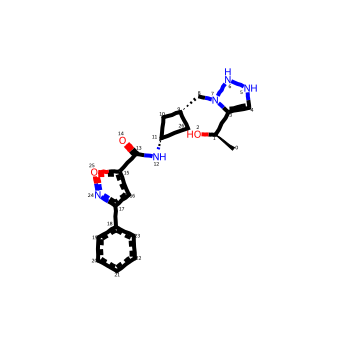 C[C@@H](O)C1=CNNN1C[C@H]1C[C@@H](NC(=O)c2cc(-c3ccccc3)no2)C1